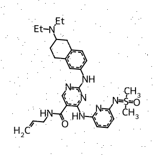 C=CCNC(=O)c1cnc(Nc2ccc3c(c2)CCC(N(CC)CC)C3)nc1Nc1cccc(N=S(C)(C)=O)n1